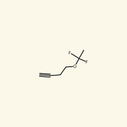 C#CCCOC(C)(F)F